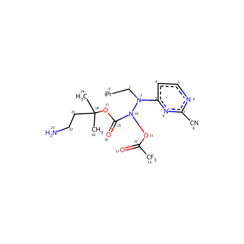 CC(C)CN(c1ccnc(C#N)n1)N(OC(=O)C(F)(F)F)C(=O)OC(C)(C)CCN